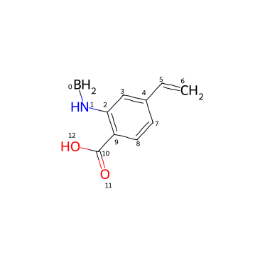 BNc1cc(C=C)ccc1C(=O)O